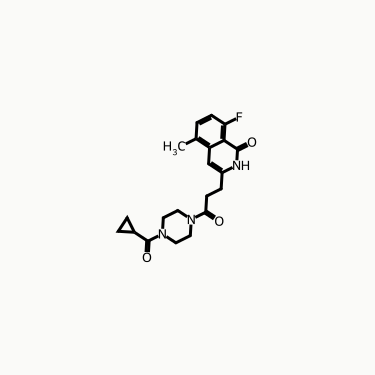 Cc1ccc(F)c2c(=O)[nH]c(CCC(=O)N3CCN(C(=O)C4CC4)CC3)cc12